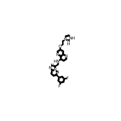 Fc1cc(F)cc(-c2ccc3nnc(CNc4ccnc5cc(OCCN6C=CNN6)cnc45)n3n2)c1